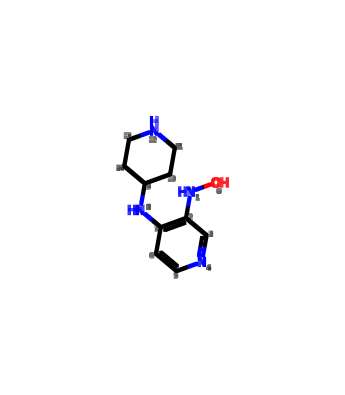 ONc1cnccc1NC1CCNCC1